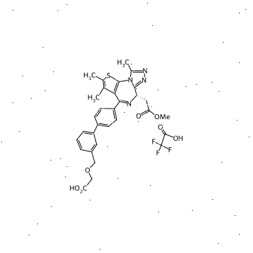 COC(=O)C[C@@H]1N=C(c2ccc(-c3cccc(COCC(=O)O)c3)cc2)c2c(sc(C)c2C)-n2c(C)nnc21.O=C(O)C(F)(F)F